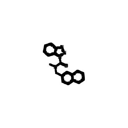 CN(Cc1ccc2ccccc2c1)C(=O)n1nnc2ccccc21